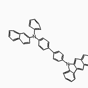 c1ccc(N(c2ccc(-c3ccc(-n4c5ccccc5c5cc6ccccc6cc54)cc3)cc2)c2ccc3ccccc3c2)cc1